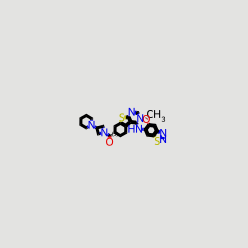 COc1cc2nnsc2cc1Nc1ncnc2sc3c(c12)CC[C@H](C(=O)N1CC(N2CCCCC2)C1)C3